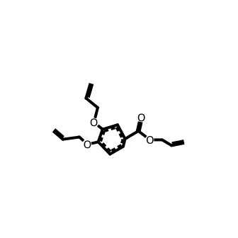 C=CCOC(=O)c1ccc(OCC=C)c(OCC=C)c1